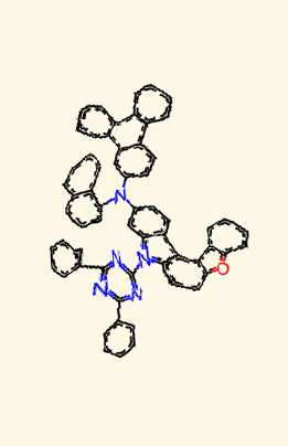 c1ccc(-c2nc(-c3ccccc3)nc(-n3c4cc(N(c5ccc6c7ccccc7c7ccccc7c6c5)c5cccc6ccccc56)ccc4c4c5c(ccc43)oc3ccccc35)n2)cc1